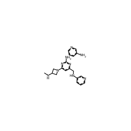 CNC1CN(c2cc(CNc3cccnc3)nc(N)n2)C1.Nc1cccnc1